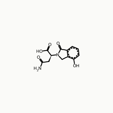 NC(=O)C[C@@H](C(=O)O)N1Cc2c(O)cccc2C1=O